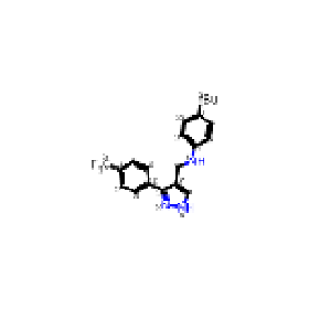 CCCCc1ccc(NCc2c[nH]nc2-c2ccc(C(F)(F)F)cc2)cc1